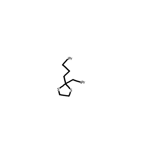 CC(C)CCCC1(CC(C)C)SCCS1